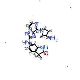 CC1(C)C(=O)Nc2cc(Nc3nc4c(N5CCC(N)C5)nccn4n3)ccc21